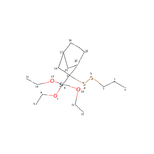 CCCSSC1([Si](OCC)(OCC)OCC)CC2CCC1C2